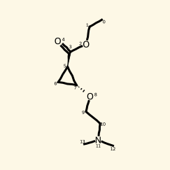 CCOC(=O)[C@@H]1C[C@H]1OCCN(C)C